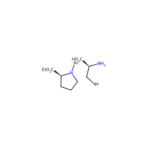 CC(C)C[C@H](N)C(=O)O.CCOC(=O)[C@@H]1CCCN1C(C)=O